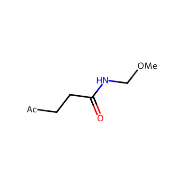 COCNC(=O)CCC(C)=O